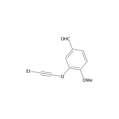 CCC#COc1cc(C=O)ccc1OC